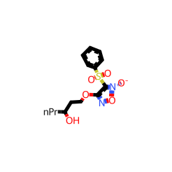 CCCC(O)CCOc1no[n+]([O-])c1S(=O)(=O)c1ccccc1